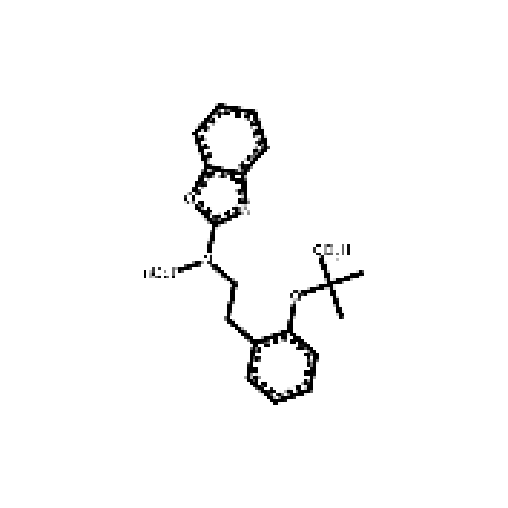 CCCCCCCCN(CCc1ccccc1OC(C)(C)C(=O)O)c1nc2ccccc2o1